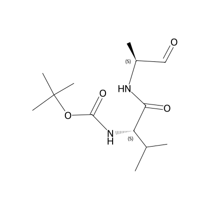 CC(C)[C@H](NC(=O)OC(C)(C)C)C(=O)N[C@@H](C)C=O